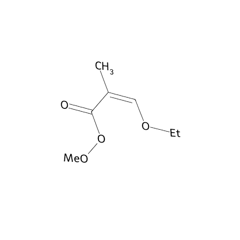 CCOC=C(C)C(=O)OOC